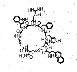 CC(=O)N[C@@H](Cc1ccc2ccccc2c1)C(=O)N[C@H]1CSSC[C@@H](C(N)=O)NC(=O)CCCNC(=O)[C@H](Cc2c[nH]c3ccccc23)NC(=O)[C@H](CCCNC(=N)N)NC(=O)[C@@H](Cc2ccccc2)NC(=O)[C@H](Cc2c[nH]cn2)NC1=O